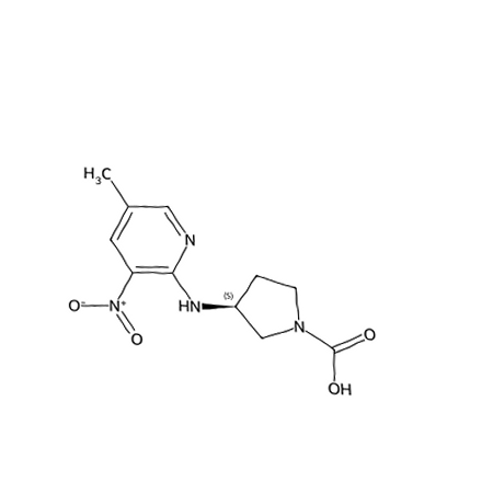 Cc1cnc(N[C@H]2CCN(C(=O)O)C2)c([N+](=O)[O-])c1